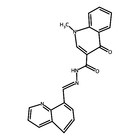 Cn1cc(C(=O)N/N=C/c2cccc3cccnc23)c(=O)c2ccccc21